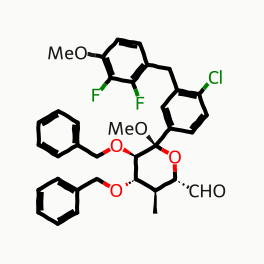 COc1ccc(Cc2cc([C@]3(OC)O[C@H](C=O)[C@@H](C)[C@H](OCc4ccccc4)[C@H]3OCc3ccccc3)ccc2Cl)c(F)c1F